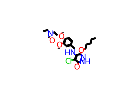 CCCCCOc1n[nH]c(=O)c(Cl)c1NCc1ccc(OC)c(OC)c1.CCN(C=O)CC